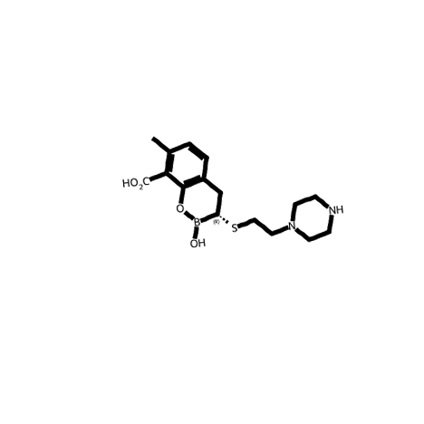 Cc1ccc2c(c1C(=O)O)OB(O)[C@@H](SCCN1CCNCC1)C2